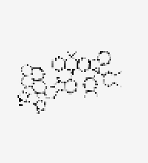 Cc1ccc([Si]2(c3ccc(C)c(C)c3)c3ccccc3-c3cc4c(cc32)N(c2cccc3c2sc2c5c(ccc23)C2(c3ccsc3-c3sccc32)c2ccc3c6c(ccc-5c26)CC3)c2ccccc2C4(C)C)cc1C